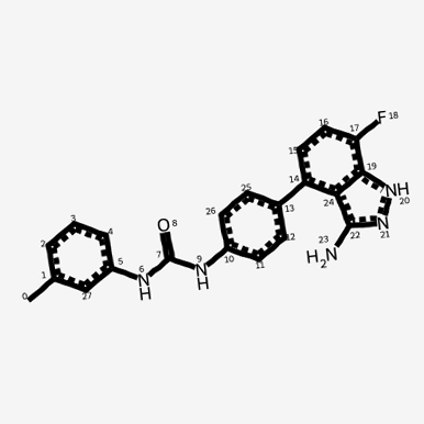 Cc1cccc(NC(=O)Nc2ccc(-c3ccc(F)c4[nH]nc(N)c34)cc2)c1